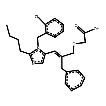 CCCCc1ncc(/C=C(/COCC(=O)O)Cc2ccccc2)n1Cc1ccccc1Cl